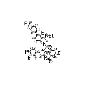 CCN(CC)CCN(Cc1ccc(-c2ccc(C(F)(F)F)cc2)cc1)C(=O)Cn1c(CCc2ccc(F)c(F)c2F)nc(=O)c2cc(F)ccc21